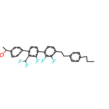 CCCc1ccc(CCc2ccc(-c3ccc(-c4ccc(C(C)O)cc4)c(C(F)F)c3F)c(F)c2F)cc1